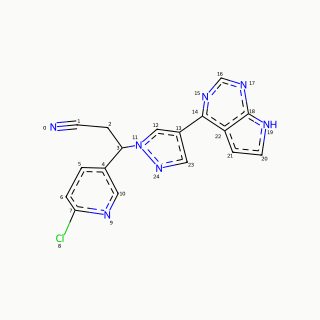 N#CCC(c1ccc(Cl)nc1)n1cc(-c2ncnc3[nH]ccc23)cn1